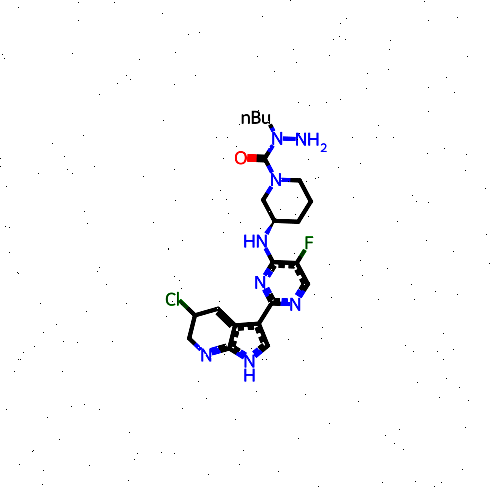 CCCCN(N)C(=O)N1CCC[C@@H](Nc2nc(-c3c[nH]c4c3=CC(Cl)CN=4)ncc2F)C1